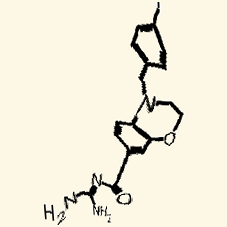 NC(N)=NC(=O)c1ccc2c(c1)OCCN2Cc1ccc(F)cc1